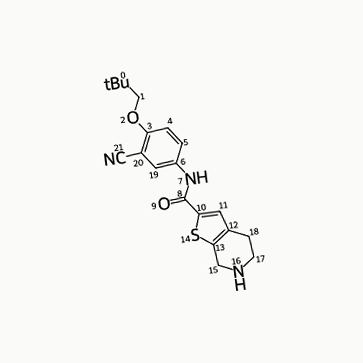 CC(C)(C)COc1ccc(NC(=O)c2cc3c(s2)CNCC3)cc1C#N